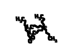 CCCCCCCC(=O)[O-].CCCC[N+](CCCC)(CCCC)CCCC